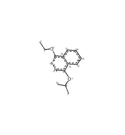 CCOc1nnc(OC(C)C)c2ccccc12